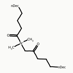 CCCCCCCCCCCCCC(=O)C[N+](C)(C)C(=O)CCCCCCCCCCCCC